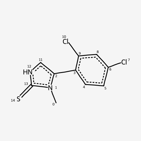 Cn1c(-c2ccc(Cl)cc2Cl)c[nH]c1=S